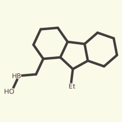 CCC1C2CCCCC2C2CCCC(CBO)C12